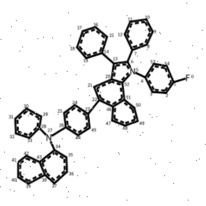 Fc1ccc(-n2c(-c3ccccc3)c(-c3ccccc3)c3cc(-c4ccc(N(c5ccccc5)c5cccc6ccccc56)cc4)c4ccccc4c32)cc1